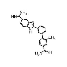 Cc1cc(C(=N)N)ccc1-c1cccc(-c2nc3cc(C(=N)N)ccc3[nH]2)c1